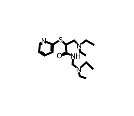 CCN(CC)CNC(=O)C(CN(CC)CC)Sc1ccccn1